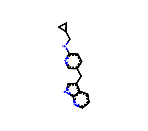 c1cnc2[nH]cc(Cc3ccc(NCC4CC4)nc3)c2c1